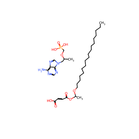 CC(Cn1cnc2c(N)ncnc21)OCP(=O)(O)O.CCCCCCCCCCCCCCCCCCOC(C)OC(=O)/C=C/C(=O)O